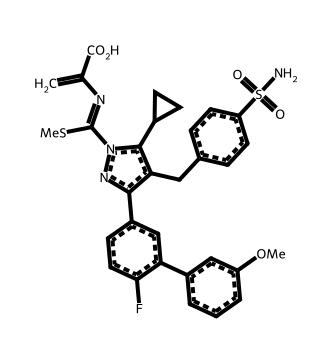 C=C(/N=C(\SC)n1nc(-c2ccc(F)c(-c3cccc(OC)c3)c2)c(Cc2ccc(S(N)(=O)=O)cc2)c1C1CC1)C(=O)O